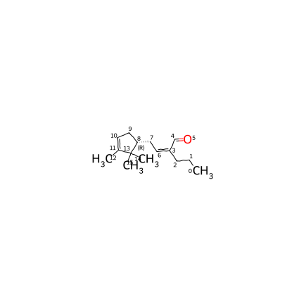 CCCC(C=O)=CC[C@H]1CC=C(C)C1(C)C